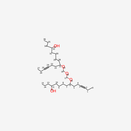 CCC#CCCC(CCCCC(O)CCC)OCOCOC(CCC#CCC)CCCCC(O)CCC